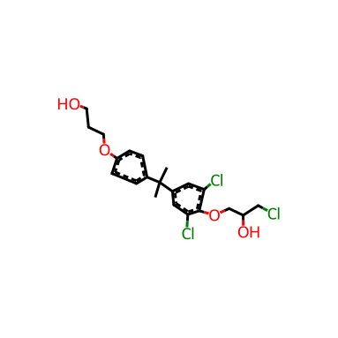 CC(C)(c1ccc(OCCCO)cc1)c1cc(Cl)c(OCC(O)CCl)c(Cl)c1